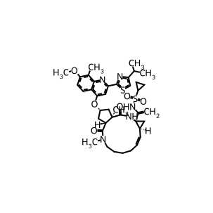 C=C(NS(=O)(=O)C1CC1)[C@@]12C[C@H]1/C=C\CCCCN(C)C(=O)[C@@H]1C[C@H](Oc3cc(-c4nc(C(C)C)cs4)nc4c(C)c(OC)ccc34)C[C@@]1(C)C(=O)N2